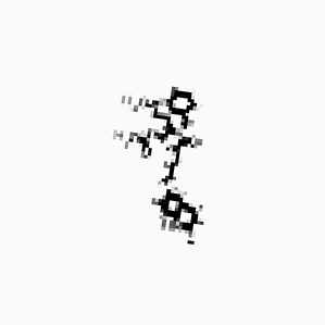 CSCCC(COC(C)=O)N(CC1CCCCC1)C(=O)CCCCOc1ccc2[nH]c(=O)ccc2c1